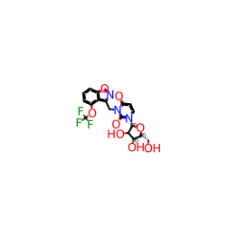 O=c1ccn([C@@H]2O[C@H](CO)[C@H](O)C2O)c(=O)n1Cc1noc2cccc(OC(F)(F)F)c12